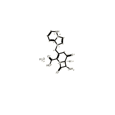 N[C@H]1C(=O)N2C(C(=O)O)=C(CN3C=CN4NC=CC=C34)CC(=S)[C@@H]12.O